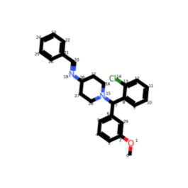 COc1cccc(C(c2ccccc2Cl)N2CCC(N=Cc3ccccc3)CC2)c1